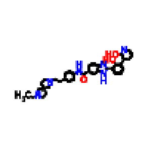 CCN1CC[C@]2(CCN(CCc3ccc(NC(=O)c4ccc5nc(-c6cccc(-c7cccnc7O)c6O)[nH]c5c4)cc3)C2)C1